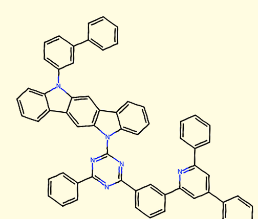 c1ccc(-c2cccc(-n3c4ccccc4c4cc5c(cc43)c3ccccc3n5-c3nc(-c4ccccc4)nc(-c4cccc(-c5cc(-c6ccccc6)cc(-c6ccccc6)n5)c4)n3)c2)cc1